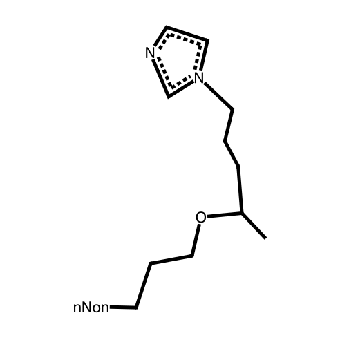 CCCCCCCCCCCCOC(C)CCCn1ccnc1